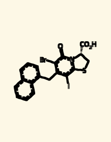 O=C(O)[C@@H]1CSc2c(I)c(Cc3cccc4ccccc34)c(Br)c(=O)n21